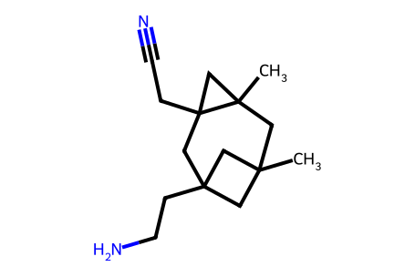 CC12CC(CCN)(C1)CC1(CC#N)CC1(C)C2